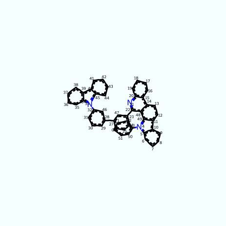 c1ccc(-n2c3ccccc3c3ccc4c5ccccc5nc(-c5cccc(-c6cccc(-n7c8ccccc8c8ccccc87)c6)c5)c4c32)cc1